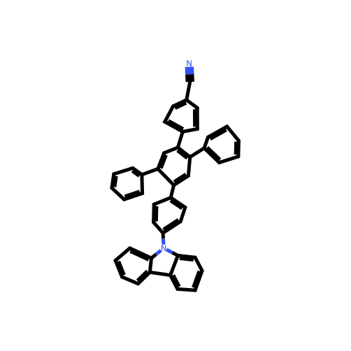 N#Cc1ccc(-c2cc(-c3ccccc3)c(-c3ccc(-n4c5ccccc5c5ccccc54)cc3)cc2-c2ccccc2)cc1